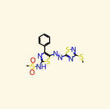 CSc1nsc(/N=N/c2sc(NS(C)(=O)=O)nc2-c2ccccc2)n1